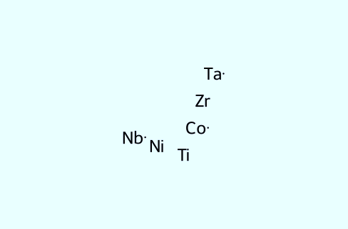 [Co].[Nb].[Ni].[Ta].[Ti].[Zr]